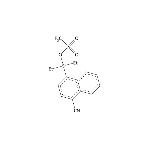 CCS(CC)(OS(=O)(=O)C(F)(F)F)c1ccc(C#N)c2ccccc12